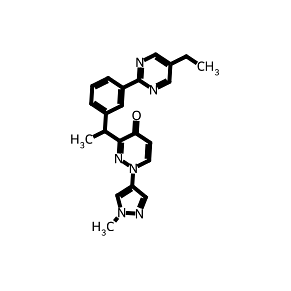 CCc1cnc(-c2cccc(C(C)c3nn(-c4cnn(C)c4)ccc3=O)c2)nc1